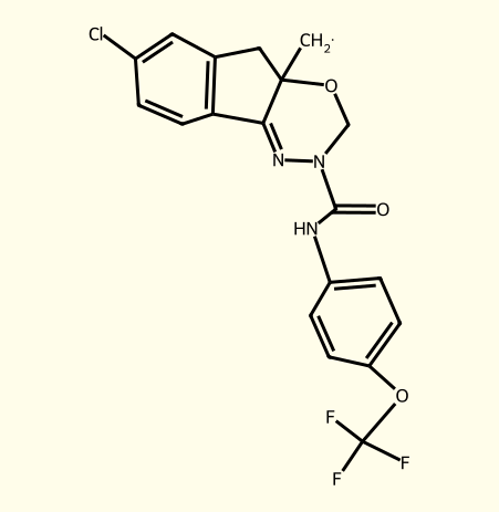 [CH2]C12Cc3cc(Cl)ccc3C1=NN(C(=O)Nc1ccc(OC(F)(F)F)cc1)CO2